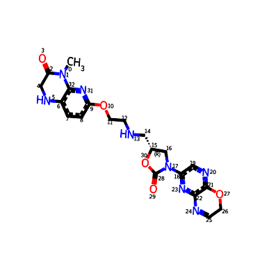 CN1C(=O)CNc2ccc(OCCNC[C@@H]3CN(c4cnc5c(n4)N=CCO5)C(=O)O3)nc21